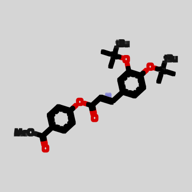 COC(=O)c1ccc(OC(=O)/C=C/c2ccc(O[Si](C)(C)C(C)(C)C)c(O[Si](C)(C)C(C)(C)C)c2)cc1